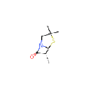 C[C@@H]1C(=O)N2CC(C)(C)SC12